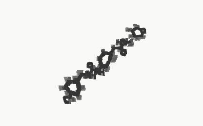 O=C(Cc1ccc(NC(=O)NCc2ccc(Cl)cc2)cc1)NC[C@@H]1CCOC1